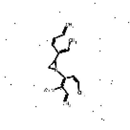 C=C/C=C\C(=C/C)C1CN1C(/C=C\C)=C(/C=C)NC